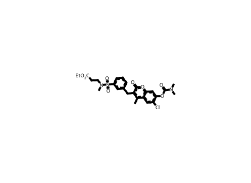 CCOC(=O)CCN(C)S(=O)(=O)c1cccc(Cc2c(C)c3cc(Cl)c(OC(=O)N(C)C)cc3oc2=O)c1